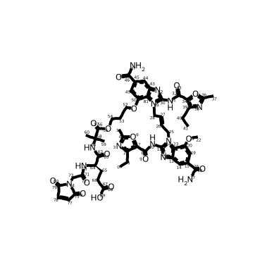 CCc1nc(C)oc1C(=O)Nc1nc2cc(C(N)=O)cc(OC)c2n1C/C=C/Cn1c(NC(=O)c2oc(C)nc2CC)nc2cc(C(N)=O)cc(OCCCOC(=O)C(C)(C)NC(=O)[C@@H](CCC(=O)O)NC(=O)CN3C(=O)C=CC3=O)c21